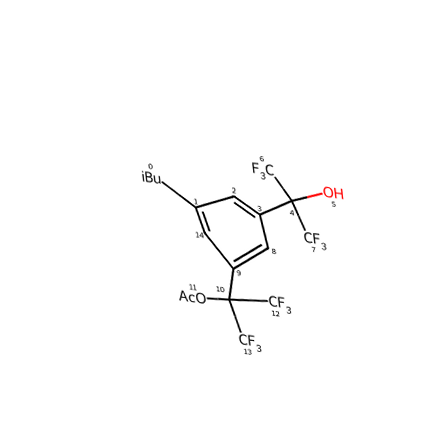 CCC(C)c1cc(C(O)(C(F)(F)F)C(F)(F)F)cc(C(OC(C)=O)(C(F)(F)F)C(F)(F)F)c1